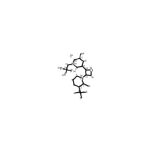 CC1C(C(C)(C)C)CCCN1C1COC1C1C[C@H](C)[C@@H](C)N(CC(F)(F)F)C1